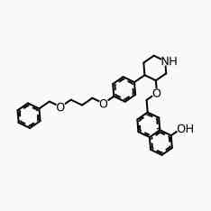 Oc1cccc2ccc(COC3CNCCC3c3ccc(OCCCOCc4ccccc4)cc3)cc12